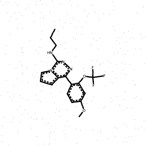 CCCNc1nnc(-c2ccc(OC)cc2OC(F)(F)F)c2cccn12